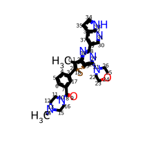 Cc1c(-c2cccc(C(=O)N3CCN(C)CC3)c2)sc2c(N3CCOCC3)nc(-c3cnc4[nH]ccc4c3)nc12